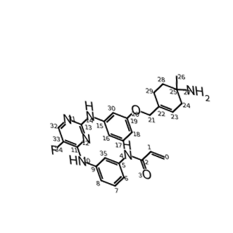 C=CC(=O)Nc1cccc(Nc2nc(Nc3cccc(OCC4=CCC(C)(N)CC4)c3)ncc2F)c1